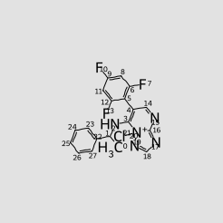 CC(NC1=C(c2c(F)cc(F)cc2F)C=NC2=NC=N[N+]21Cl)c1ccccc1